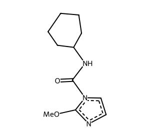 COc1nccn1C(=O)NC1CCCCC1